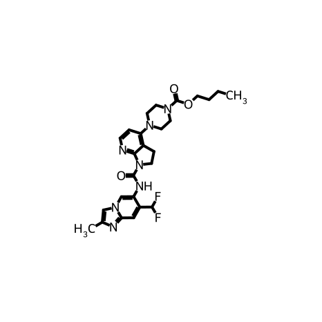 CCCCOC(=O)N1CCN(c2ccnc3c2CCN3C(=O)Nc2cn3cc(C)nc3cc2C(F)F)CC1